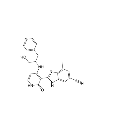 Cc1cc(C#N)cc2[nH]c(-c3c(NC(CO)Cc4ccncc4)cc[nH]c3=O)nc12